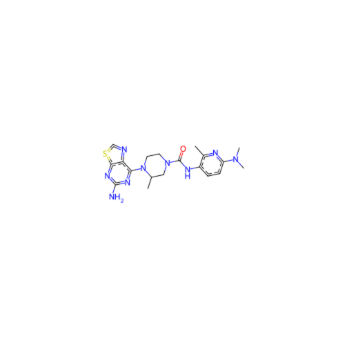 Cc1nc(N(C)C)ccc1NC(=O)N1CCN(c2nc(N)nc3scnc23)C(C)C1